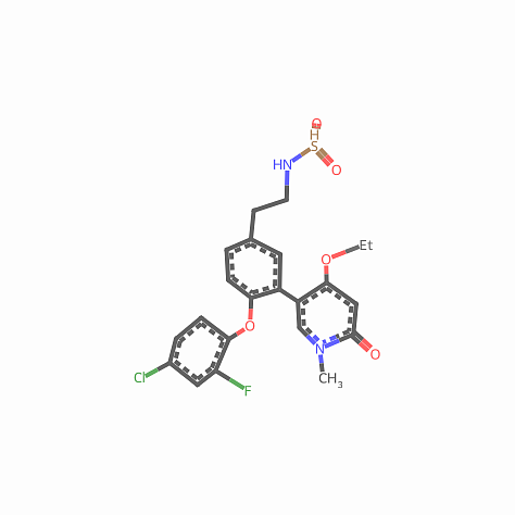 CCOc1cc(=O)n(C)cc1-c1cc(CCN[SH](=O)=O)ccc1Oc1ccc(Cl)cc1F